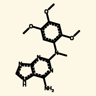 COc1cc(OC)c(N(C)c2nc(N)c3[nH]cnc3n2)cc1OC